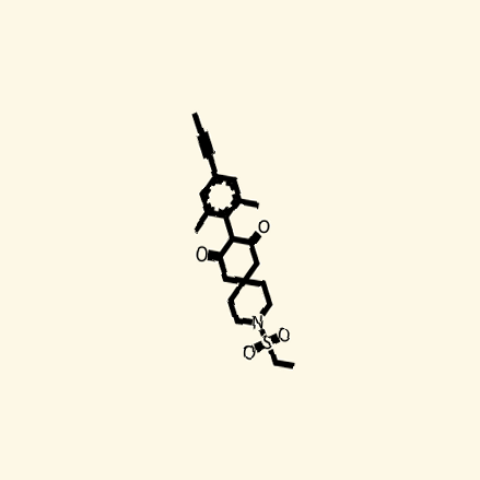 CC#Cc1cc(C)c(C2C(=O)CC3(CCN(S(=O)(=O)CC)CC3)CC2=O)c(C)c1